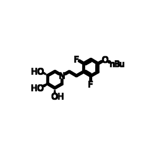 CCCCOc1cc(F)c(CCN2C[C@@H](O)[C@H](O)[C@@H](O)C2)c(F)c1